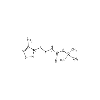 [CH2]c1ccnn1CCNC(=O)OC(C)(C)C